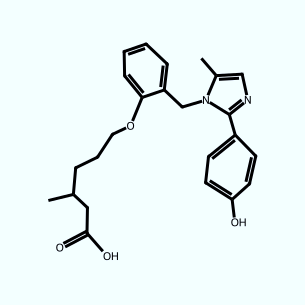 Cc1cnc(-c2ccc(O)cc2)n1Cc1ccccc1OCCCC(C)CC(=O)O